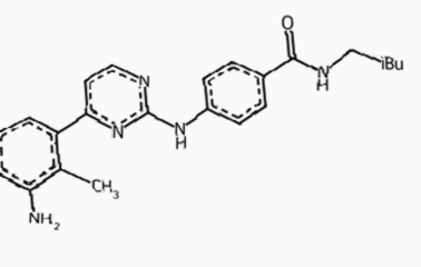 CCC(C)CNC(=O)c1ccc(Nc2nccc(-c3cccc(N)c3C)n2)cc1